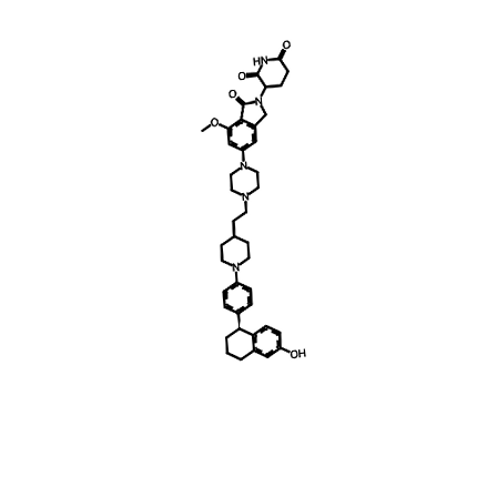 COc1cc(N2CCN(CCC3CCN(c4ccc([C@@H]5CCCc6cc(O)ccc65)cc4)CC3)CC2)cc2c1C(=O)N(C1CCC(=O)NC1=O)C2